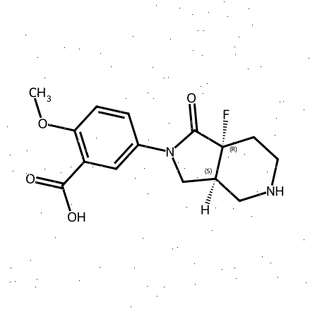 COc1ccc(N2C[C@@H]3CNCC[C@]3(F)C2=O)cc1C(=O)O